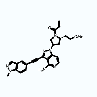 C=CC(=O)N1CC(n2nc(C#Cc3ccc4c(cnn4C)c3)c3c(N)nccc32)C[C@@H]1CCOC